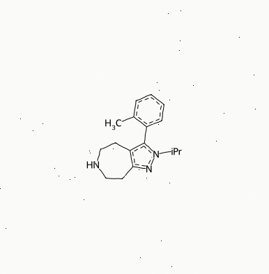 Cc1ccccc1-c1c2c(nn1C(C)C)CCNCC2